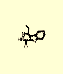 CCc1n[nH]c(=O)c2sc3ccccc3c12